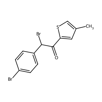 Cc1csc(C(=O)C(Br)c2ccc(Br)cc2)c1